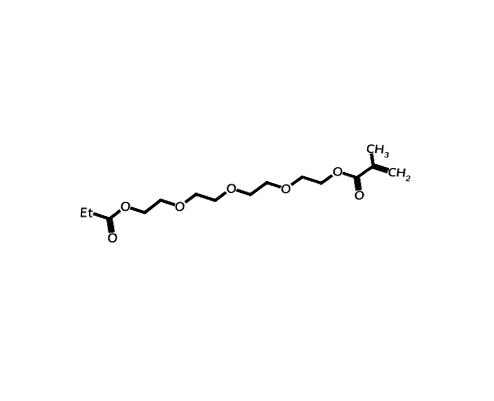 C=C(C)C(=O)OCCOCCOCCOCCOC(=O)CC